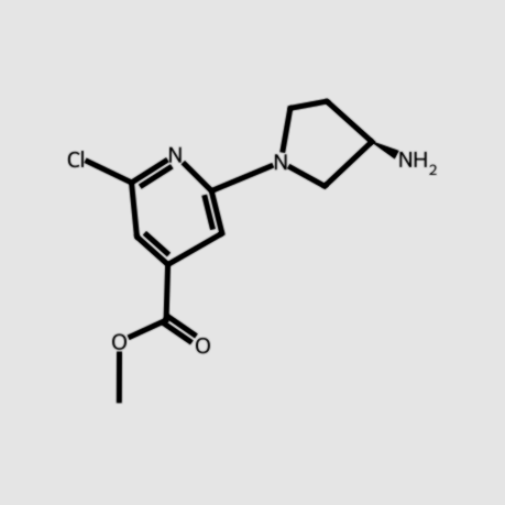 COC(=O)c1cc(Cl)nc(N2CC[C@@H](N)C2)c1